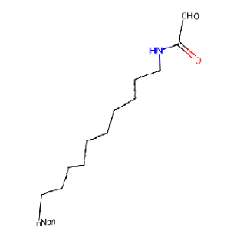 CCCCCCCCCCCCCCCCCCCNC(=O)C=O